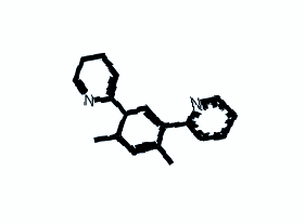 CC1=CC(C)C(C2=CCCC=N2)C=C1c1ccccn1